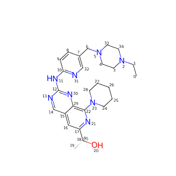 CCN1CCN(Cc2ccc(Nc3ncc4cc([C@@H](C)O)nc(N5CCCCC5)c4n3)nc2)CC1